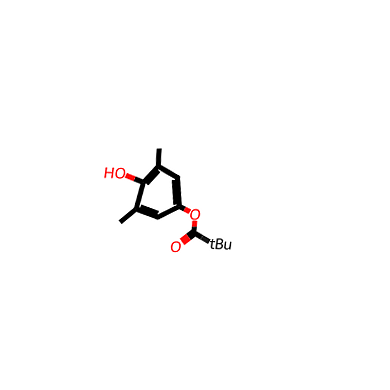 Cc1cc(OC(=O)C(C)(C)C)cc(C)c1O